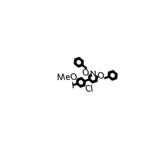 COc1cc(-c2ccc(OCc3ccccc3)nc2OCc2ccccc2)c(Cl)cc1I